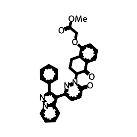 COC(=O)COc1cccc2c1CCC(n1nc(-c3c(-c4ccccc4)nn4ccccc34)ccc1=O)C2=O